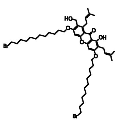 CC(C)=CCc1c(OCCCCCCCCCCCCBr)cc2oc3cc(OCCCCCCCCCCCCBr)c(CO)c(CC=C(C)C)c3c(=O)c2c1O